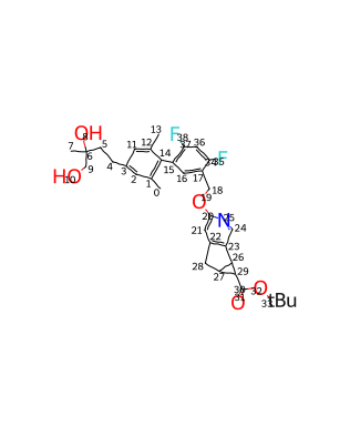 Cc1cc(CCC(C)(O)CO)cc(C)c1-c1cc(COc2cc3c(cn2)C2C(C3)C2C(=O)OC(C)(C)C)c(F)cc1F